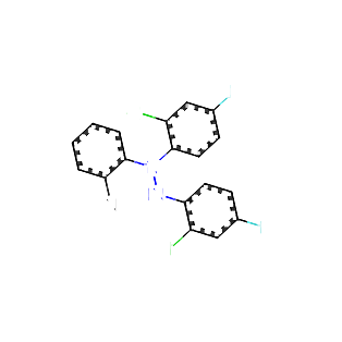 O=[N+]([O-])c1ccccc1N(Nc1ccc(F)cc1Cl)c1ccc(F)cc1Cl